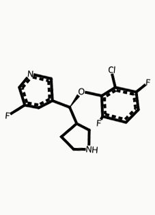 Fc1cncc([C@@H](Oc2c(F)ccc(F)c2Cl)C2CCNC2)c1